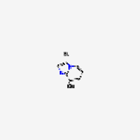 CCc1cnc2c(C(C)(C)C)cccn12